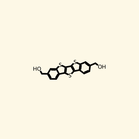 OCc1ccc2c(c1)sc1c2sc2c3ccc(CO)cc3sc21